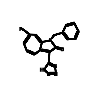 CC(C)c1cccc2c(-c3nnn[nH]3)c(=O)n(Cc3ccccc3)c-2c1